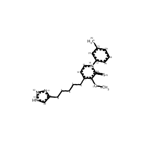 COc1c(CCCCCc2c[nH]nn2)ccn(-c2cccc(C)c2)c1=S